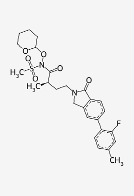 Cc1ccc(-c2ccc3c(c2)CN(CC[C@@H](C)C(=O)N(OC2CCCCO2)S(C)(=O)=O)C3=O)c(F)c1